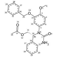 COc1ccc(N(C(N)=O)[C@@H](COC(C)=O)c2ccccc2)cc1OCc1ccccc1